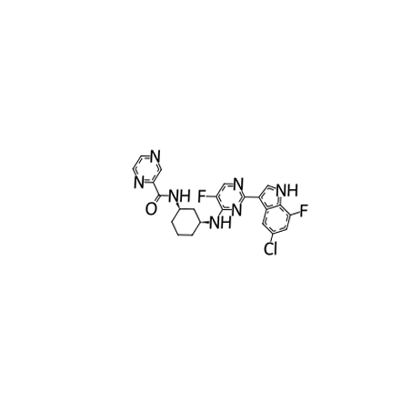 O=C(N[C@@H]1CCC[C@H](Nc2nc(-c3c[nH]c4c(F)cc(Cl)cc34)ncc2F)C1)c1cnccn1